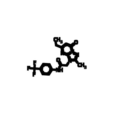 CCc1cc(=O)n2nc(C)n(CC(=O)Nc3ccc(C(F)(F)F)cc3)c2n1